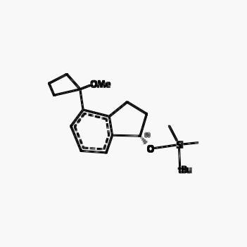 COC1(c2cccc3c2CC[C@@H]3O[Si](C)(C)C(C)(C)C)CCC1